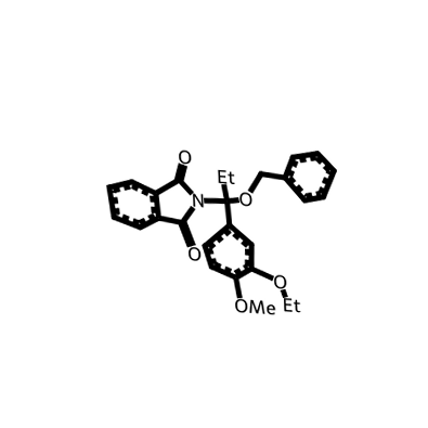 CCOc1cc(C(CC)(OCc2ccccc2)N2C(=O)c3ccccc3C2=O)ccc1OC